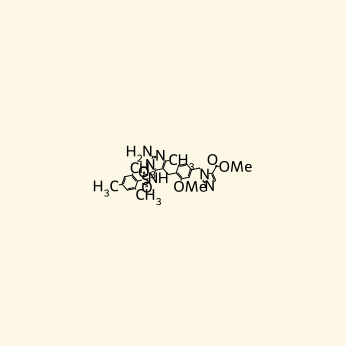 COC(=O)c1cncn1Cc1ccc(Cc2c(C)nc(N)nc2NS(=O)(=O)c2c(C)cc(C)cc2C)c(OC)c1